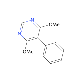 COc1n[c]nc(OC)c1-c1ccccc1